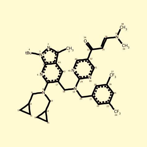 Cc1nn(C(C)(C)C)c2nc(N(CC3CC3)CC3CC3)c(CN(Cc3cc(C(F)(F)F)cc(C(F)(F)F)c3)c3ncc(C(=O)C=CN(C)C)cn3)cc12